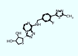 Cc1nnc(-c2ccc(CNc3nccn4c([C@@H]5SC[C@@H](O)[C@H]5O)nnc34)cc2F)s1